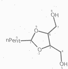 CCCCCC1OC(CO)C(CO)O1